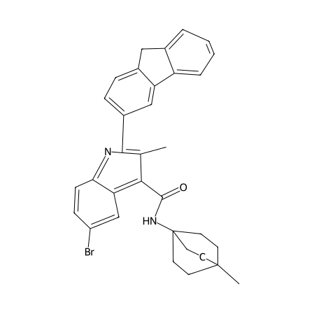 Cc1c(-c2ccc3c(c2)-c2ccccc2C3)nc2ccc(Br)cc2c1C(=O)NC12CCC(C)(CC1)CC2